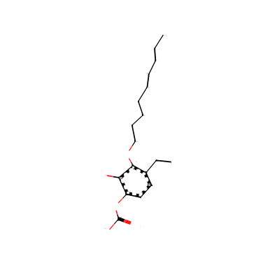 CCCCCCCCCOc1c(CC)ccc(OC(=O)O)c1O